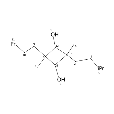 CC(C)CCC1(C)C(O)C(C)(CCC(C)C)C1O